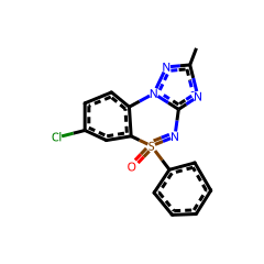 Cc1nc2n(n1)-c1ccc(Cl)cc1S(=O)(c1ccccc1)=N2